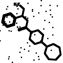 CCC(CC(=O)N1CCN(C2CCCCCC2)CC1)c1ccccc1